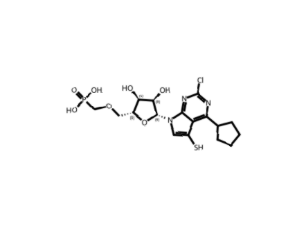 O=P(O)(O)COC[C@H]1O[C@@H](n2cc(S)c3c(C4CCCC4)nc(Cl)nc32)[C@H](O)[C@@H]1O